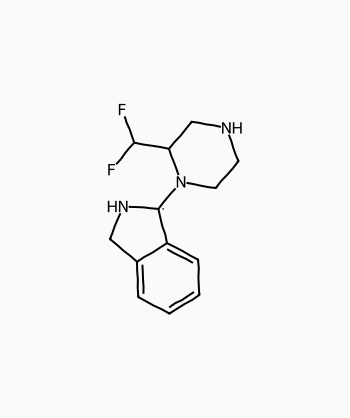 FC(F)C1CNCCN1[C]1NCc2ccccc21